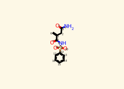 C=C(CC(N)=O)C(=O)NS(=O)(=O)c1ccccc1